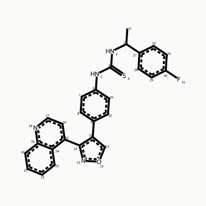 CC(NC(=S)Nc1ccc(-c2conc2-c2ccnc3ccccc23)cc1)c1ccc(F)cc1